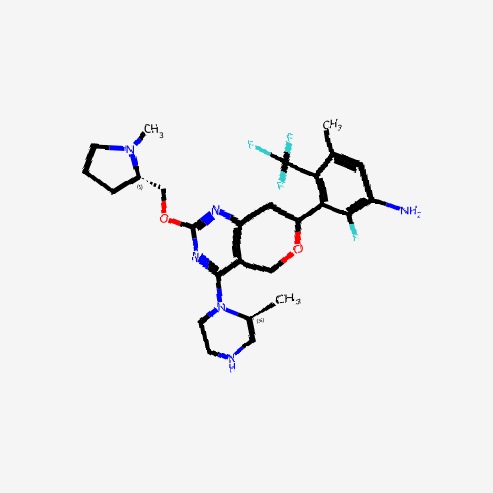 Cc1cc(N)c(F)c(C2Cc3nc(OC[C@@H]4CCCN4C)nc(N4CCNC[C@@H]4C)c3CO2)c1C(F)(F)F